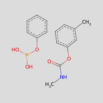 CNC(=O)Oc1cccc(C)c1.OP(O)Oc1ccccc1